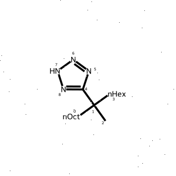 CCCCCCCCC(C)(CCCCCC)c1nn[nH]n1